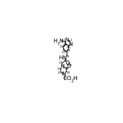 Nc1ncnc2cc(CNC(=O)CN3CCN(C(=O)O)CC3=O)ccc12